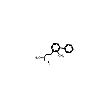 Cc1c(CCN(C)C)cccc1-c1ccccc1